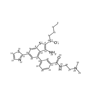 CCCC[S+]([O-])c1sc2cc(-c3nccs3)cc(-c3cccc(C(=O)NCCN(C)C)c3)c2c1N